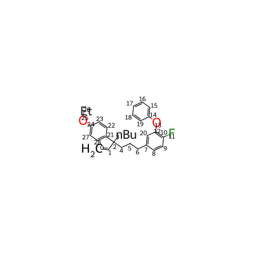 C=CC(CCCC)(CCCc1ccc(F)c(Oc2ccccc2)c1)c1ccc(OCC)cc1